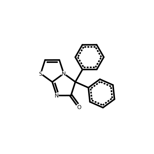 O=C1N=C2SC=CN2C1(c1ccccc1)c1ccccc1